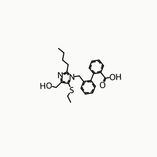 CCCCc1nc(CO)c(SCC)n1Cc1ccccc1-c1ccccc1C(=O)O